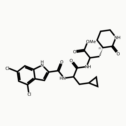 COC(=O)C(C[C@@H]1CCCNC1=O)NC(=O)C(CC1CC1)NC(=O)c1cc2c(Cl)cc(Cl)cc2[nH]1